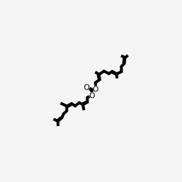 CC(C)=CCCC(C)=CCCC(C)=CCOC(=O)OCC=C(C)CCC=C(C)CCC=C(C)C